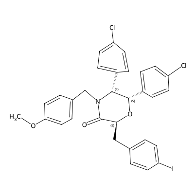 COc1ccc(CN2C(=O)[C@H](Cc3ccc(I)cc3)O[C@@H](c3ccc(Cl)cc3)[C@H]2c2ccc(Cl)cc2)cc1